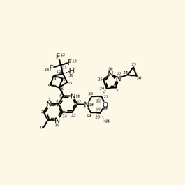 Cc1cnc2c(C34CC(C3)[C@@H](C(F)(F)F)C4)nc(N3C[C@@H](C)O[C@@H](c4cnn(C5CC5)c4)C3)cc2n1